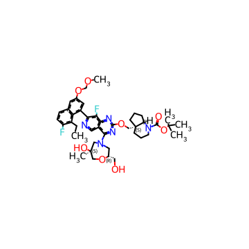 CCc1c(F)ccc2cc(OCOC)cc(-c3ncc4c(N5C[C@H](CO)OC[C@@](C)(O)C5)nc(OC[C@]56CCC[C@H]5N(C(=O)OC(C)(C)C)CCC6)nc4c3F)c12